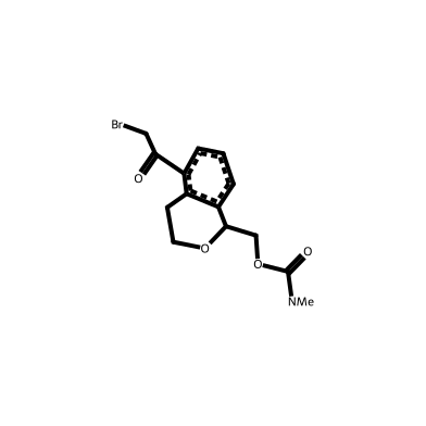 CNC(=O)OCC1OCCc2c(C(=O)CBr)cccc21